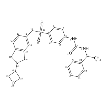 CC(NC(=O)Nc1ccc(S(=O)(=O)Cc2ccc3c(c2)CN(C2COC2)C3)cc1)c1ccccc1